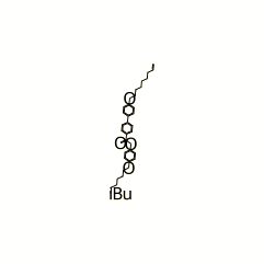 C=CCCCCCCOc1ccc(-c2ccc(C(=O)Oc3ccc(OCCCCCC(C)CC)cc3)cc2)cc1